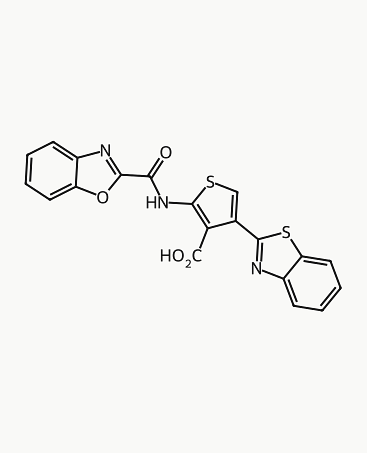 O=C(Nc1scc(-c2nc3ccccc3s2)c1C(=O)O)c1nc2ccccc2o1